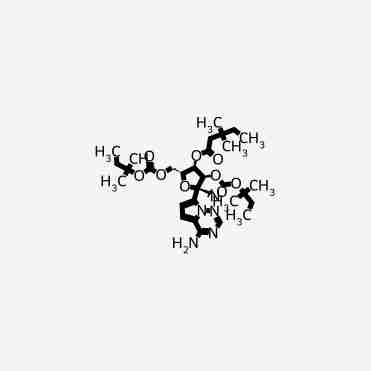 CCC(C)(C)CC(=O)O[C@H]1[C@@H](OC(=O)OC(C)(C)CC)[C@](C#N)(c2ccc3c(N)ncnn23)O[C@@H]1COC(=O)OC(C)(C)CC